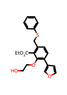 CCOC(=O)c1c(CSc2ccccc2)ccc(-c2ccoc2)c1OCCO